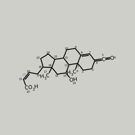 CC12CCC(=C=O)C=C1CCC1C2C(O)CC2(C)C(C/C=C\C(=O)O)CCC12